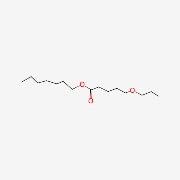 CCCCCCCOC(=O)CCCCOCCC